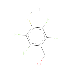 CCCSc1c(F)c(F)c(CO)c(F)c1F